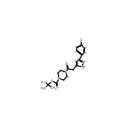 CC(C)(C)OC(=O)N1CCN(C(=O)Cc2cc(-c3ccc(F)cc3)n[nH]2)CC1